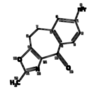 CCCc1ccc2c(c1)CCc1oc(C)nc1C2=O